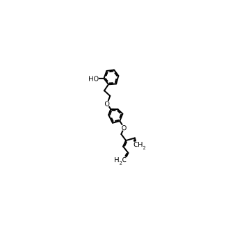 C=C/C=C(\C=C)COc1ccc(OCCc2ccccc2O)cc1